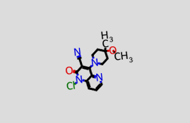 COC1(C)CCN(c2c(C#N)c(=O)n(Cl)c3cccnc23)CC1